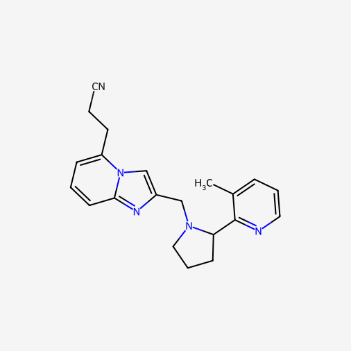 Cc1cccnc1C1CCCN1Cc1cn2c(CCC#N)cccc2n1